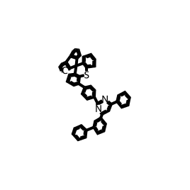 c1ccc(-c2cccc(-c3cc(-c4ccccc4)nc(-c4ccc(-c5cccc6c5Sc5ccccc5C65c6ccccc6-c6ccccc65)cc4)n3)c2)cc1